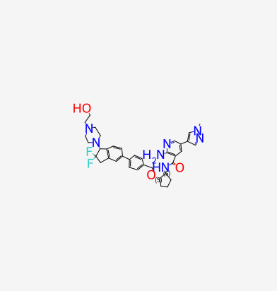 Cn1cc(-c2cnc(N)c(C(=O)N[C@H]3CCC[C@@H]3OCc3ccc(-c4ccc5c(c4)CC(F)(F)C5N4CCN(CCO)CC4)cc3)c2)cn1